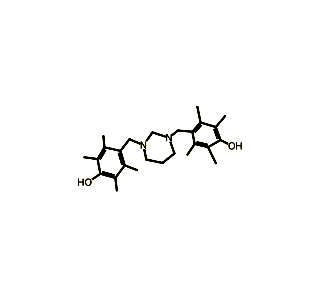 Cc1c(C)c(CN2CCCN(Cc3c(C)c(C)c(O)c(C)c3C)C2)c(C)c(C)c1O